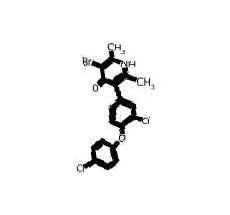 Cc1[nH]c(C)c(-c2ccc(Oc3ccc(Cl)cc3)c(Cl)c2)c(=O)c1Br